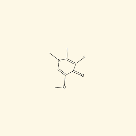 COc1cn(C)c(C)c(F)c1=O